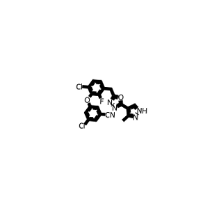 Cc1n[nH]cc1-c1nnc(Cc2ccc(Cl)c(Oc3cc(Cl)cc(C#N)c3)c2F)o1